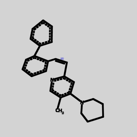 Cc1cnc(/C=C\c2ccccc2-c2ccccc2)cc1N1CCCCC1